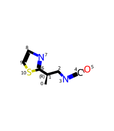 C[C@H](CN=C=O)c1nccs1